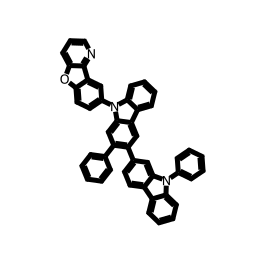 c1ccc(-c2cc3c(cc2-c2ccc4c5ccccc5n(-c5ccccc5)c4c2)c2ccccc2n3-c2ccc3oc4cccnc4c3c2)cc1